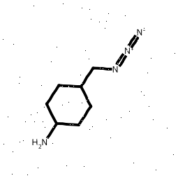 [N-]=[N+]=NCC1CCC(N)CC1